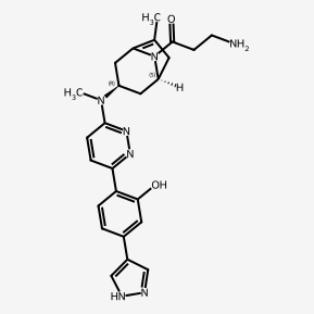 CC1=C2C[C@H](N(C)c3ccc(-c4ccc(-c5cn[nH]c5)cc4O)nn3)C[C@H](C1)N2C(=O)CCN